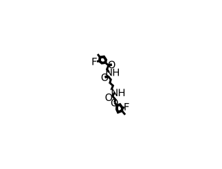 Cc1ccc(OCC(=O)NCCCCC(=O)NCC(=O)c2ccc(C)c(F)c2)cc1F